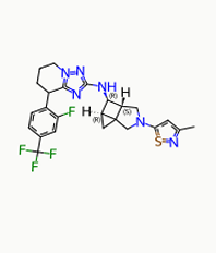 Cc1cc(N2C[C@H]3[C@H](Nc4nc5n(n4)CCCC5c4ccc(C(F)(F)F)cc4F)[C@@H]4CC34C2)sn1